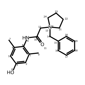 Cc1cc(O)cc(C)c1NC(=O)C[N+]1(Cc2ccccc2)CCCC1